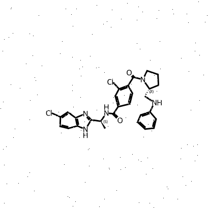 C[C@H](NC(=O)c1ccc(C(=O)N2CCC[C@@H]2CNc2ccccc2)c(Cl)c1)c1nc2cc(Cl)ccc2[nH]1